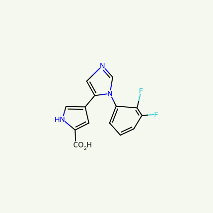 O=C(O)c1cc(-c2cncn2-c2cccc(F)c2F)c[nH]1